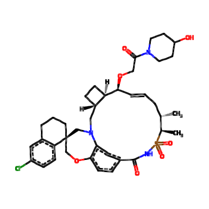 C[C@@H]1[C@@H](C)C/C=C/[C@H](OCC(=O)N2CCC(O)CC2)[C@@H]2CC[C@H]2CN2C[C@@]3(CCCc4cc(Cl)ccc43)COc3ccc(cc32)C(=O)NS1(=O)=O